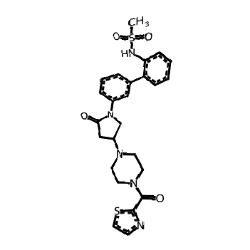 CS(=O)(=O)Nc1ccccc1-c1cccc(N2CC(N3CCN(C(=O)c4nccs4)CC3)CC2=O)c1